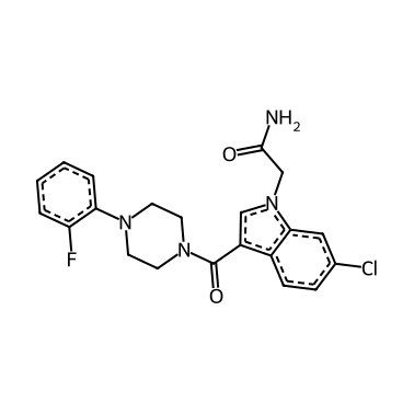 NC(=O)Cn1cc(C(=O)N2CCN(c3ccccc3F)CC2)c2ccc(Cl)cc21